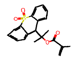 C=C(C)C(=O)OC(C)(C)C1c2ccccc2S(=O)(=O)c2ccccc21